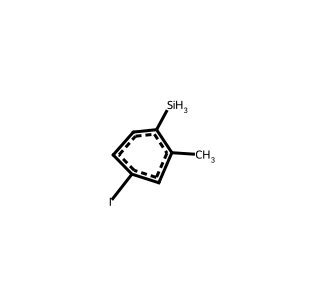 Cc1cc(I)ccc1[SiH3]